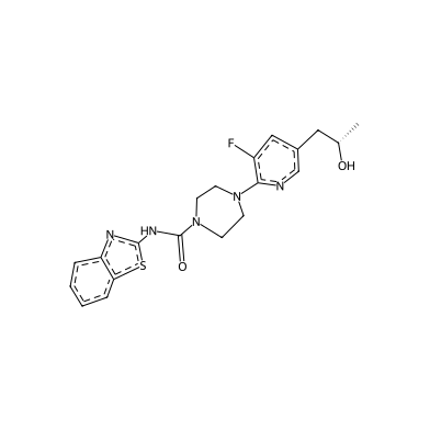 C[C@H](O)Cc1cnc(N2CCN(C(=O)Nc3nc4ccccc4s3)CC2)c(F)c1